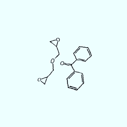 C(OCC1CO1)C1CO1.O=C(c1ccccc1)c1ccccc1